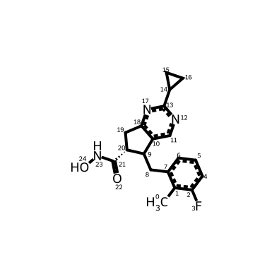 Cc1c(F)cccc1CC1c2cnc(C3CC3)nc2C[C@H]1C(=O)NO